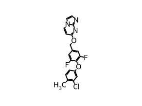 Cc1ccc(Oc2c(F)cc(COc3ccn4ccnc4n3)cc2F)cc1Cl